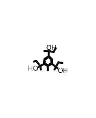 CCC(C)(O)c1cc(C(C)(O)CC)c(C)c(C(C)(O)CC)c1